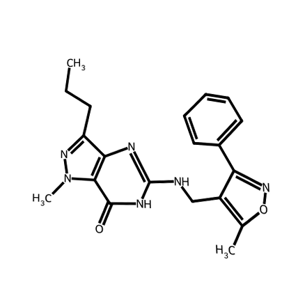 CCCc1nn(C)c2c(=O)[nH]c(NCc3c(-c4ccccc4)noc3C)nc12